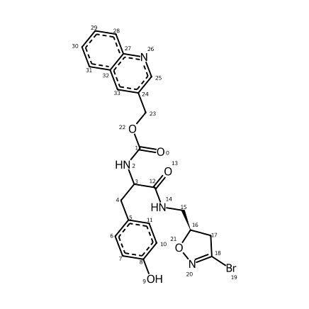 O=C(NC(Cc1ccc(O)cc1)C(=O)NC[C@H]1CC(Br)=NO1)OCc1cnc2ccccc2c1